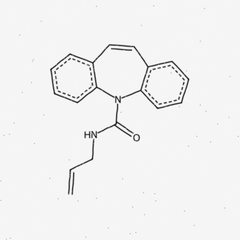 C=CCNC(=O)N1c2ccccc2C=Cc2ccccc21